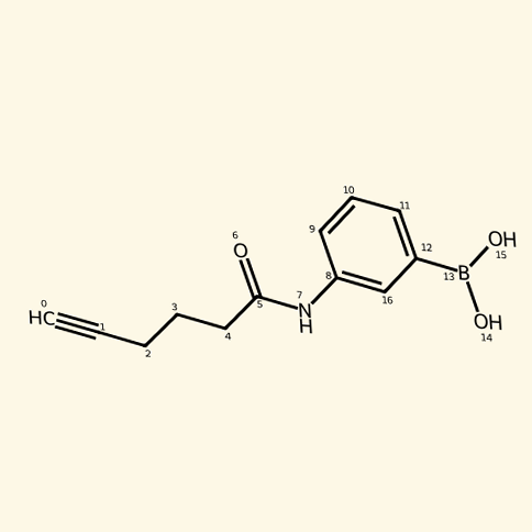 C#CCCCC(=O)Nc1cccc(B(O)O)c1